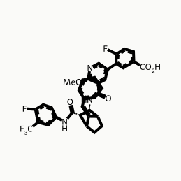 COc1ncc(-c2cc(C(=O)O)ccc2F)cc1C(=O)N[C@@H]1C2CCC(/C2=C/c2ccccc2)[C@@H]1C(=O)Nc1ccc(F)c(C(F)(F)F)c1